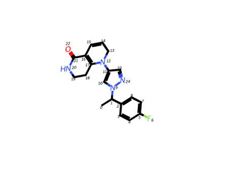 CC(c1ccc(F)cc1)n1cc(N2CC=CC3=C2CCNC3=O)cn1